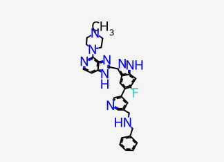 CN1CCN(c2nccc3[nH]c(-c4n[nH]c5cc(F)c(-c6cncc(CNCc7ccccc7)c6)cc45)nc23)CC1